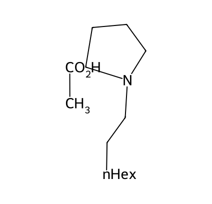 CC(=O)O.CCCCCCCCN1CCCC1